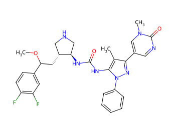 COC(C[C@@H]1CNC[C@H]1NC(=O)Nc1c(C)c(-c2cnc(=O)n(C)c2)nn1-c1ccccc1)c1ccc(F)c(F)c1